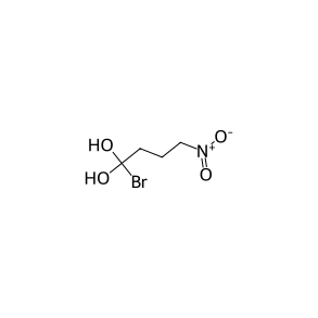 O=[N+]([O-])CCCC(O)(O)Br